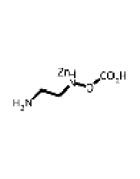 NCCNOC(=O)O.[Zn]